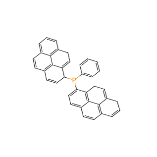 C1=Cc2ccc3ccc(P(c4ccccc4)C4C=Cc5ccc6cccc7c6c5C4=CC7)c4c3c2C(=CC4)C1